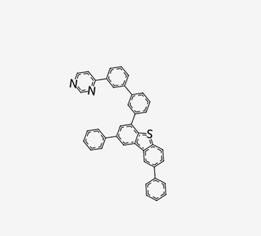 c1ccc(-c2ccc3sc4c(-c5cccc(-c6cccc(-c7ccncn7)c6)c5)cc(-c5ccccc5)cc4c3c2)cc1